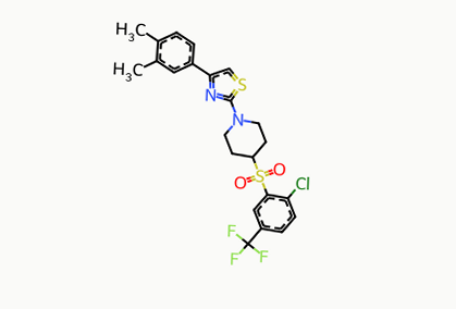 Cc1ccc(-c2csc(N3CCC(S(=O)(=O)c4cc(C(F)(F)F)ccc4Cl)CC3)n2)cc1C